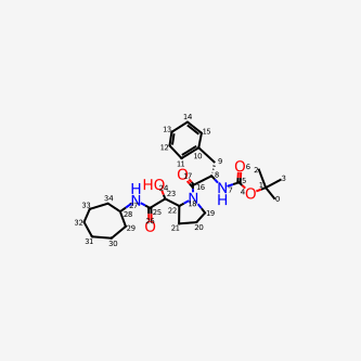 CC(C)(C)OC(=O)N[C@@H](Cc1ccccc1)C(=O)N1CCCC1C(O)C(=O)NC1CCCCCC1